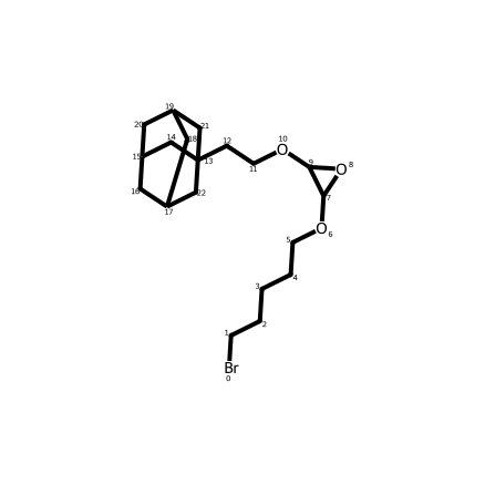 BrCCCCCOC1OC1OCCC12CC3CC(CC(C3)C1)C2